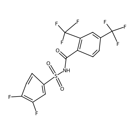 O=C(NS(=O)(=O)c1ccc(F)c(F)c1)c1ccc(C(F)(F)F)cc1C(F)(F)F